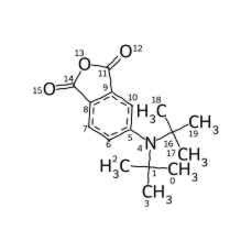 CC(C)(C)N(c1ccc2c(c1)C(=O)OC2=O)C(C)(C)C